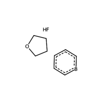 C1CCOC1.F.b1ccccc1